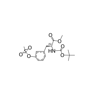 COC(=O)[C@H](Cc1cccc(OS(C)(=O)=O)c1)NC(=O)OC(C)(C)C